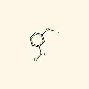 CCNc1cccc(OC(F)(F)F)c1